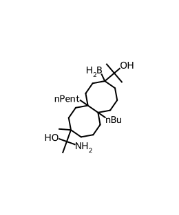 BC1(C(C)(C)O)CCCC2(CCCC)CCCC(C)(C(C)(N)O)CCC2(CCCCC)CC1